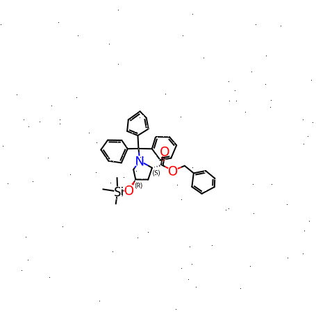 C[Si](C)(C)O[C@@H]1C[C@@H](C(=O)OCc2ccccc2)N(C(c2ccccc2)(c2ccccc2)c2ccccc2)C1